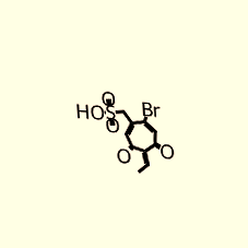 CC=C1C(=O)C=C(Br)C(CS(=O)(=O)O)=CC1=O